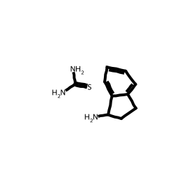 NC(N)=S.NC1CCc2ccccc21